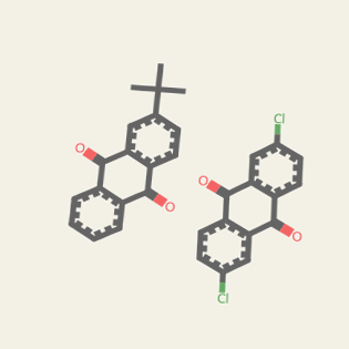 CC(C)(C)c1ccc2c(c1)C(=O)c1ccccc1C2=O.O=C1c2ccc(Cl)cc2C(=O)c2ccc(Cl)cc21